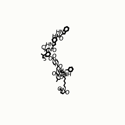 Cc1csc2c(OC(=O)N3CCN(C(=O)CNC(=O)[C@H](CC(C)C)NC(=O)[C@H](Cc4ccccc4)NC(=O)CCCCCN4C(=O)C=CC4=O)CC3)cc3c(c12)[C@@H](CCl)CN3C(=O)c1cc2cc(NC(=O)c3cc4ccccc4[nH]3)ccc2[nH]1